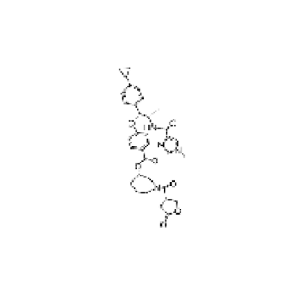 C[C@H](NC(=O)c1cn(C)cn1)[C@H](Oc1ccc(C(=O)O[C@H]2CCCN(C(=O)[C@H]3COC(=O)C3)C2)cc1)c1ccc(C2CC2)cc1